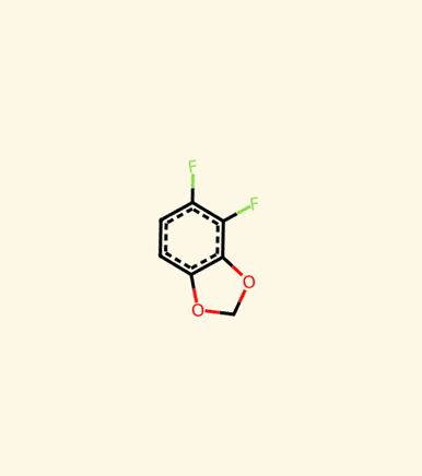 Fc1ccc2c(c1F)OCO2